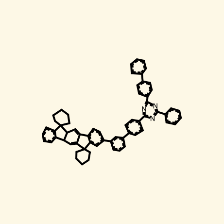 C1=C2C(=CC3c4ccccc4C4(CCCCC4)C13)C1(CCCCC1)c1cc(-c3cccc(-c4ccc(-c5nc(-c6ccccc6)nc(-c6ccc(-c7ccccc7)cc6)n5)cc4)c3)ccc12